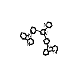 c1ccc(-c2cc(-c3cccc(-n4c5ccccc5c5ncccc54)c3)cc(-c3ccc(-n4c5ccccc5c5ncccc54)cc3)n2)nc1